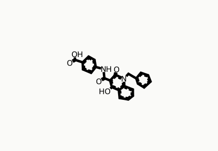 O=C(O)c1ccc(NC(=O)c2c(O)c3ccccc3n(Cc3ccccc3)c2=O)cc1